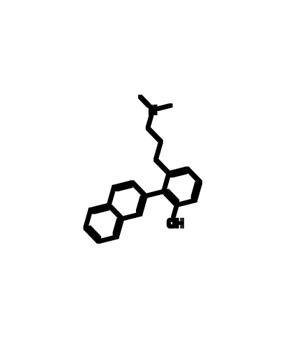 CN(C)CCCc1cccc(O)c1-c1ccc2ccccc2c1